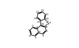 [c]1ccc2c(c1)ccc1sc3ccccc3c12